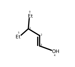 CCC(C=CO)CC